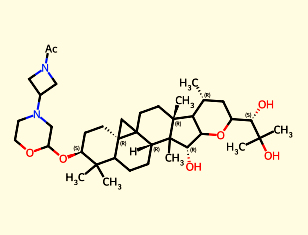 CC(=O)N1CC(N2CCOC(O[C@H]3CC[C@]45CC46CC[C@]4(C)C7C(OC([C@H](O)C(C)(C)O)C[C@H]7C)[C@H](O)C4(C)[C@@H]6CCC5C3(C)C)C2)C1